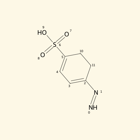 N=NC1=CC=C(S(=O)(=O)O)CC1